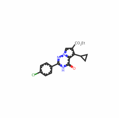 CCOC(=O)c1cn2nc(-c3ccc(Cl)cc3)[nH]c(=O)c2c1C1CC1